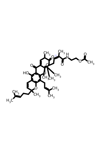 CC(=O)OCCNC(=O)/C(C)=C\CC12OC(C)(C)C(C)C13Oc1c(CC=C(C)C)c4c(c(O)c1C(=O)C3=CC(C)C2=O)C=CC(C)(CCC=C(C)C)O4